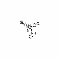 COc1ccc(-c2nn(COCC[Si](C)(C)C)c3ncc(Nc4ccccc4)cc23)cc1